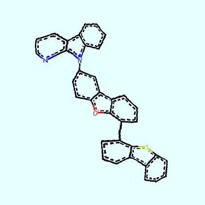 c1ccc2c(c1)sc1c(-c3cccc4c3oc3ccc(-n5c6ccccc6c6cccnc65)cc34)cccc12